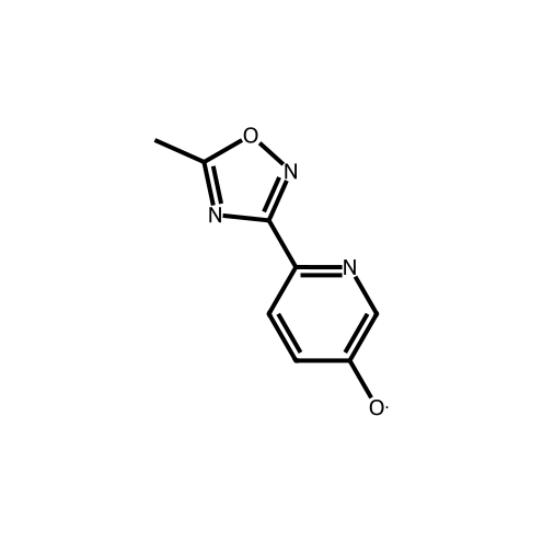 Cc1nc(-c2ccc([O])cn2)no1